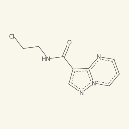 O=C(NCCCl)c1cnn2cccnc12